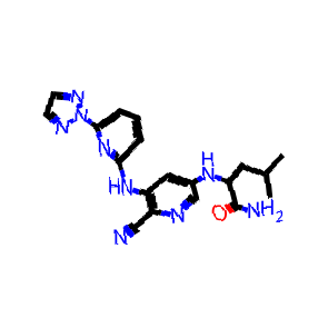 CC(C)CC(Nc1cnc(C#N)c(Nc2cccc(-n3nccn3)n2)c1)C(N)=O